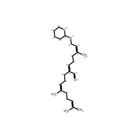 CC(C)=CCCC(C)=CCCC(C=O)=CCCC(C)=CCOC1CCCCO1